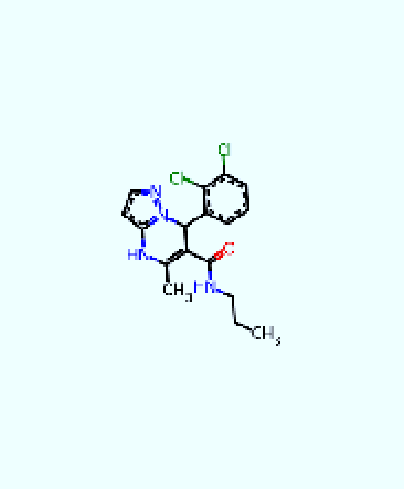 CCCNC(=O)C1=C(C)Nc2ccnn2C1c1cccc(Cl)c1Cl